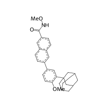 CONC(=O)c1ccc2cc(-c3ccc(OC)c(C45CC6CC(CC(C6)C4)C5)c3)ccc2c1